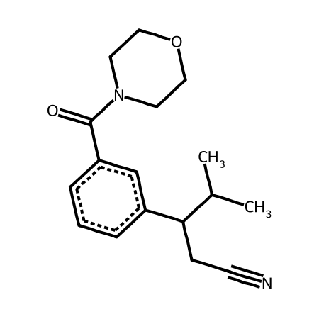 CC(C)C(CC#N)c1cccc(C(=O)N2CCOCC2)c1